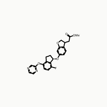 COC(=O)CC1COc2cc(O[C@@H]3CCc4c(Oc5cnccn5)ccc(F)c43)ccc21